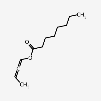 CC=C=COC(=O)CCCCCCC